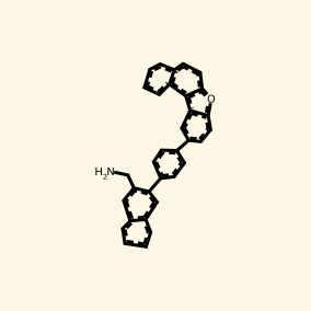 NCc1cc2ccccc2cc1-c1ccc(-c2ccc3oc4ccc5ccccc5c4c3c2)cc1